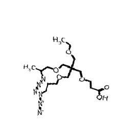 CCOCC(COCCCN=[N+]=[N-])(COCCC(=O)O)COCC(C)N=[N+]=[N-]